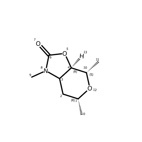 C[C@@H]1CC2[C@@H](OC(=O)N2C)[C@H](C)O1